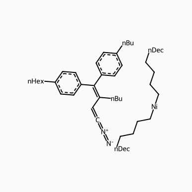 CCCCCCCCCCCCC[CH2][Ni][CH2]CCCCCCCCCCCCC.CCCCCCc1ccc(C(=C(C=C=[N+]=[N-])CCCC)c2ccc(CCCC)cc2)cc1